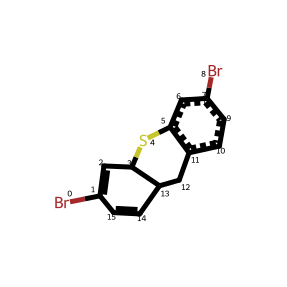 BrC1=CC2Sc3cc(Br)ccc3CC2C=C1